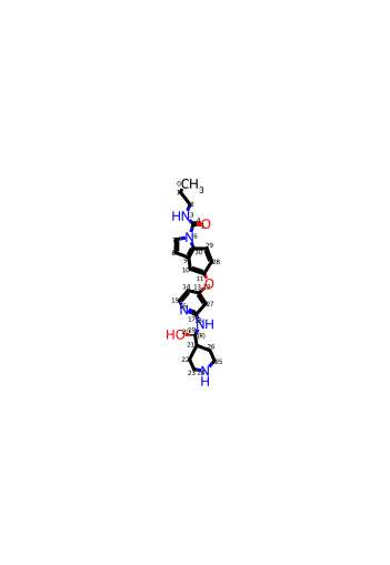 CCCNC(=O)n1ccc2cc(Oc3ccnc(N[C@H](O)C4CCNCC4)c3)ccc21